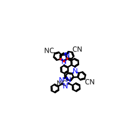 N#Cc1ccc2c(c1)c1cc(C#N)ccc1n2-c1ccc(-c2nc(-c3ccccc3)nc(-c3ccccc3)n2)cc1-c1c(-c2ccccn2)cccc1-n1c2ccc(C#N)cc2c2cc(C#N)ccc21